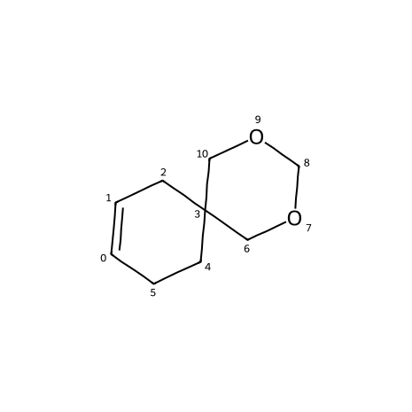 C1=CCC2(CC1)COCOC2